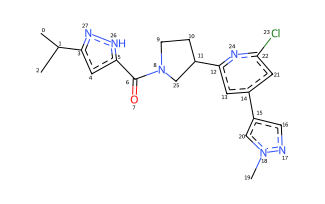 CC(C)c1cc(C(=O)N2CCC(c3cc(-c4cnn(C)c4)cc(Cl)n3)C2)[nH]n1